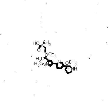 C=Nn1cc(-c2ccc([C@@]3(OC)CCCNC3)cn2)cc1C(=C)N(C)CCN(C)C(=O)O